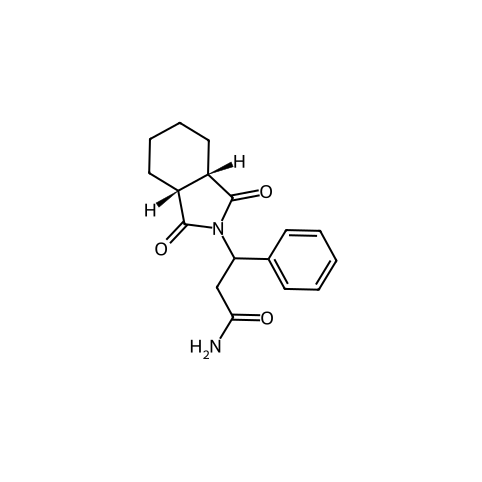 NC(=O)CC(c1ccccc1)N1C(=O)[C@H]2CCCC[C@H]2C1=O